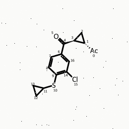 CC(=O)[C@H]1C[C@@H]1C(=O)c1ccc(SC2CC2)c(Cl)c1